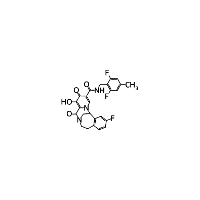 Cc1cc(F)c(CNC(=O)c2cn3c(c(O)c2=O)C(=O)N2CCc4ccc(F)cc4C3C2)c(F)c1